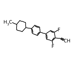 C#Cc1c(F)cc(-c2ccc(C3CCC(C)CC3)cc2)cc1F